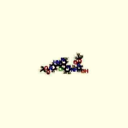 CC(C)(C)OC(=O)N1CCC(c2cc3c(-c4nc(NC[C@H]5C[C@H](O)CN5C(=O)OC(C)(C)C)ccc4Cl)ccnc3[nH]2)CC1